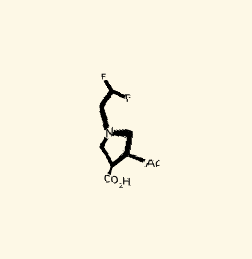 CC(=O)[C@@H]1CN(CC(F)F)C[C@@H]1C(=O)O